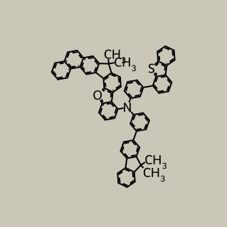 CC1(C)c2ccccc2-c2ccc(-c3cccc(N(c4cccc(-c5cccc6c5sc5ccccc56)c4)c4cccc5oc6c7c(ccc6c45)C(C)(C)c4cc5ccc6ccccc6c5cc4-7)c3)cc21